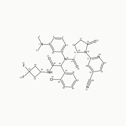 CN(C)c1cccc(N(C(=O)[C@@H]2CCC(=O)N2c2cc(C#N)ccn2)C(C(=O)NC2CC(F)(F)C2)c2ccccc2Cl)c1